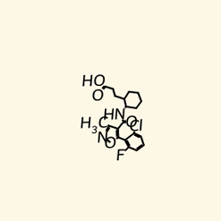 Cc1noc(-c2c(F)cccc2Cl)c1C(=O)NC1CCCCC1CCC(=O)O